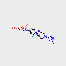 Cn1nnc(N2Cc3cn(-c4ccc(N5C[C@H](CO)OC5=O)cc4F)nc3C2)n1